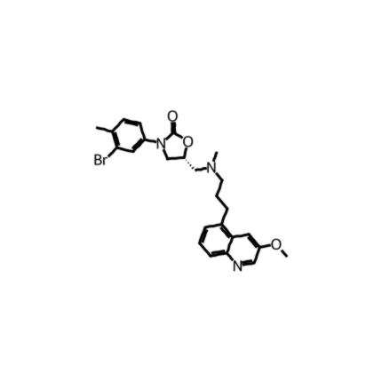 COc1cnc2cccc(CCCN(C)C[C@@H]3CN(c4ccc(C)c(Br)c4)C(=O)O3)c2c1